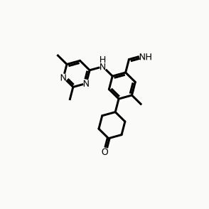 Cc1cc(Nc2cc(C3CCC(=O)CC3)c(C)cc2C=N)nc(C)n1